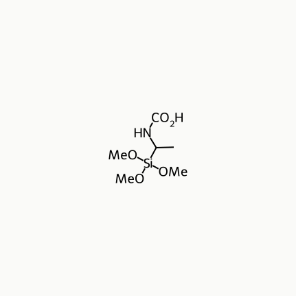 CO[Si](OC)(OC)C(C)NC(=O)O